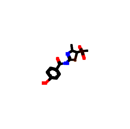 CC1N=C(NC(=O)c2ccc(O)cc2)SC1S(C)(=O)=O